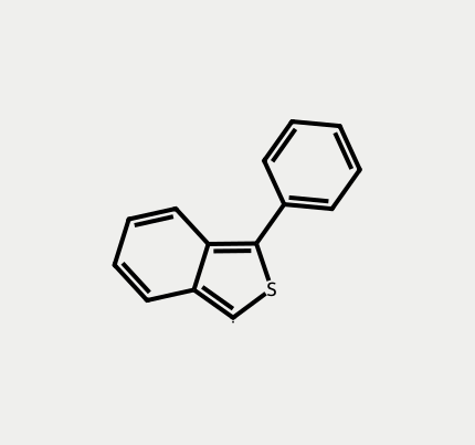 [c]1sc(-c2ccccc2)c2ccccc12